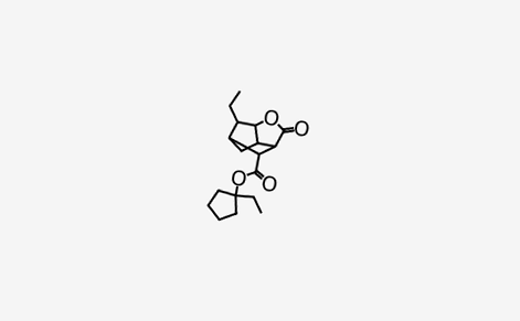 CCC1C2CC3C1OC(=O)C3C2C(=O)OC1(CC)CCCC1